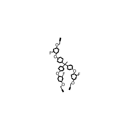 C#CCOc1ccc(Oc2ccc(C(C)(c3ccc(Oc4ccc(OCC#C)cc4F)cc3)c3ccc(Oc4ccc(OCC#C)cc4F)cc3)cc2)c(F)c1